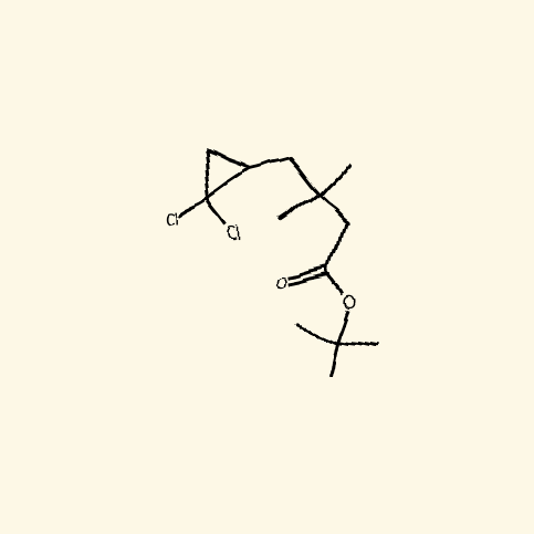 CC(C)(CC(=O)OC(C)(C)C)CC1CC1(Cl)Cl